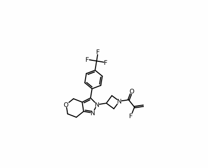 C=C(F)C(=O)N1CC(n2nc3c(c2-c2ccc(C(F)(F)F)cc2)COCC3)C1